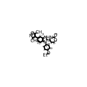 CCOC1CCC(n2c([C@@H]3CCOC(=O)N3)nc3cc(-c4c(C)noc4C)ccc32)CC1